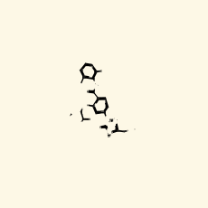 CCn1c(CO)nn(-c2ccc(C(=O)Nc3c(F)cccc3Cl)c(O[C@@H](CF)C(F)F)c2)c1=O